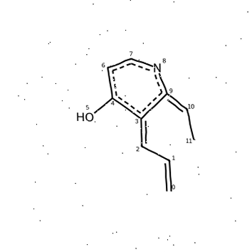 C=C/C=c1/c(O)ccn/c1=C/C